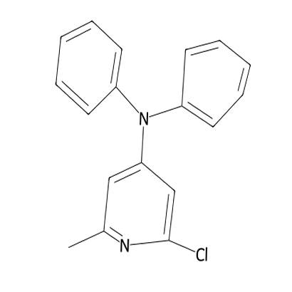 Cc1cc(N(c2ccccc2)c2ccccc2)cc(Cl)n1